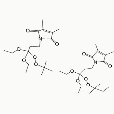 CCOC(CCN1C(=O)C(C)=C(C)C1=O)(OCC)OOC(C)(C)C.CCOC(CCN1C(=O)C(C)=C(C)C1=O)(OCC)OOC(C)(C)CC